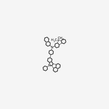 CC1(C)c2ccccc2-c2ccc(N(c3ccc(-c4ccc5c(c4)c4c(n5-c5ccccc5)-c5cccc6cccc-4c56)cc3)c3ccc4ccccc4c3)cc21